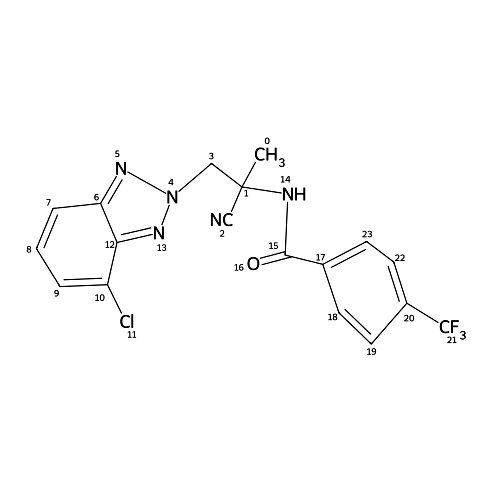 CC(C#N)(Cn1nc2cccc(Cl)c2n1)NC(=O)c1ccc(C(F)(F)F)cc1